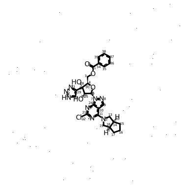 O=C(OC[C@H]1O[C@@H](n2ncc3c(N4C[C@H]5CCC[C@H]5C4)nc(Cl)nc32)[C@H](O)[C@@]1(O)c1c[nH]nn1)c1ccccc1